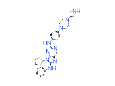 c1ccc(Nc2nc3cnc(Nc4ccc(N5CCN(C6CNC6)CC5)cc4)nc3n2C2CCCC2)cc1